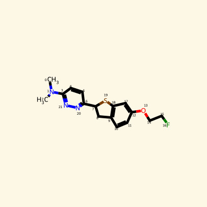 CN(C)c1ccc(C2Cc3ccc(OCCF)cc3S2)nn1